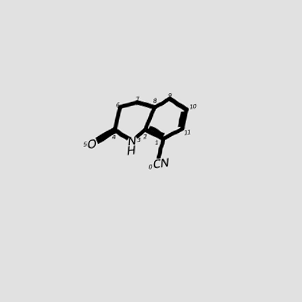 N#CC1=C2NC(=O)CCC2CC=C1